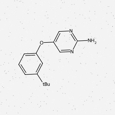 CC(C)(C)c1cccc(Oc2cnc(N)nc2)c1